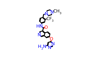 CN1CCN(Cc2ccc(NC(=O)c3cncc4cc(Oc5cc(N)ncn5)ccc34)cc2C(F)(F)F)CC1